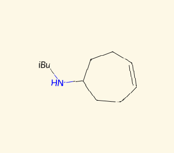 CCC(C)NC1CCC=CCC1